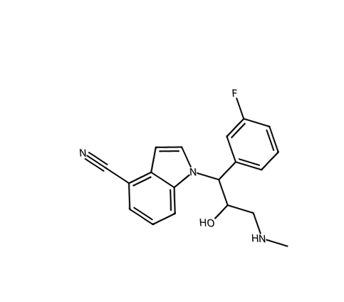 CNCC(O)C(c1cccc(F)c1)n1ccc2c(C#N)cccc21